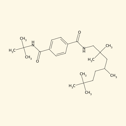 CC(CCC(C)(C)C)CC(C)(C)CNC(=O)c1ccc(C(=O)NC(C)(C)C)cc1